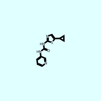 O=C(Nc1cccnc1)Nc1ncc(C2CC2)s1